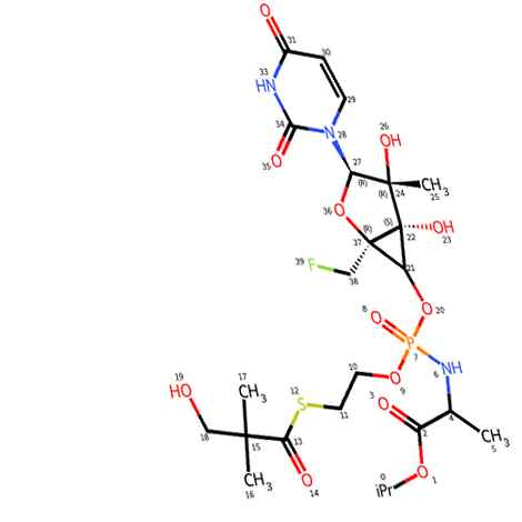 CC(C)OC(=O)C(C)NP(=O)(OCCSC(=O)C(C)(C)CO)OC1[C@]2(O)[C@@](C)(O)[C@H](n3ccc(=O)[nH]c3=O)O[C@]12CF